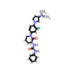 CN(C)C1CCN(c2ccc(N3CCC[C@@H](NC(=O)Nc4ccccc4)C3=O)cc2F)C1